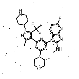 CNc1nc2nc(F)ccc2n1-c1nc(-c2c(C)nn(C3CCNCC3)c2C(F)(F)F)cc(N2CCOC[C@H]2C)n1